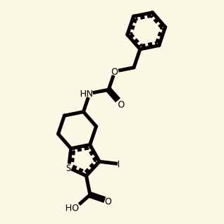 O=C(NC1CCc2sc(C(=O)O)c(I)c2C1)OCc1ccccc1